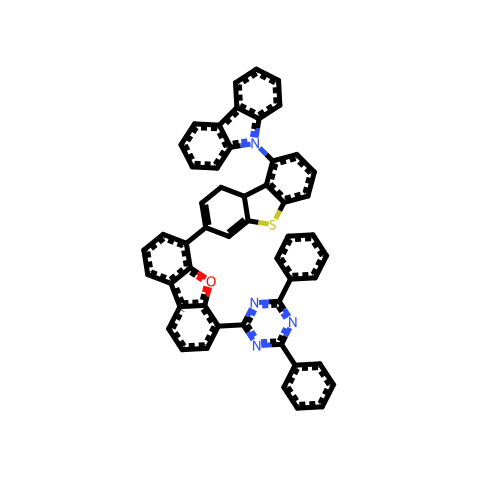 C1=C(c2cccc3c2oc2c(-c4nc(-c5ccccc5)nc(-c5ccccc5)n4)cccc23)C=C2Sc3cccc(-n4c5ccccc5c5ccccc54)c3C2C1